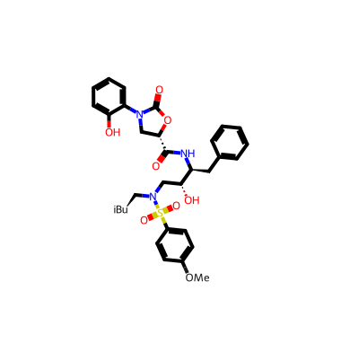 CC[C@H](C)CN(C[C@@H](O)[C@H](Cc1ccccc1)NC(=O)[C@@H]1CN(c2ccccc2O)C(=O)O1)S(=O)(=O)c1ccc(OC)cc1